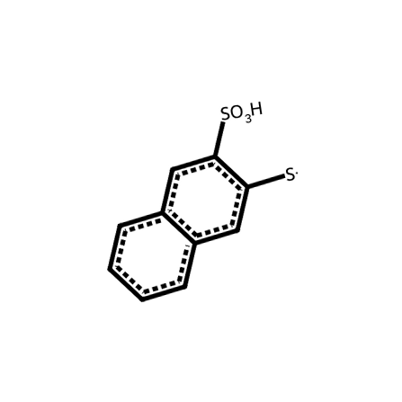 O=S(=O)(O)c1cc2ccccc2cc1[S]